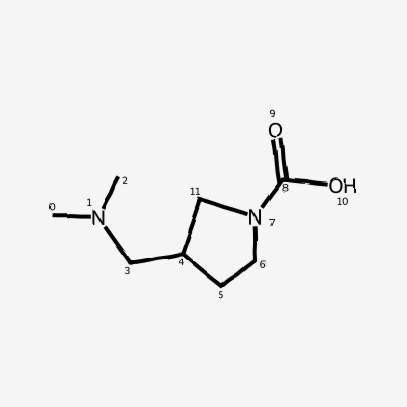 CN(C)CC1CCN(C(=O)O)C1